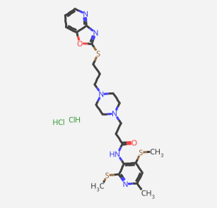 CSc1cc(C)nc(SC)c1NC(=O)CCN1CCN(CCCSc2nc3ncccc3o2)CC1.Cl.Cl